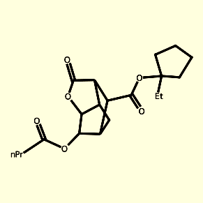 CCCC(=O)OC1C2CC3C1OC(=O)C3C2C(=O)OC1(CC)CCCC1